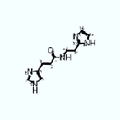 O=C(C=Cc1c[nH]cn1)NCCc1ncc[nH]1